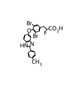 Cc1ccc(-c2nc3cc(Oc4c(Br)cc(CC(F)C(=O)O)cc4Br)ccc3[nH]2)cc1